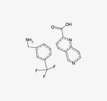 NCc1cccc(C(F)(F)F)c1.O=C(O)c1ccc2cnccc2n1